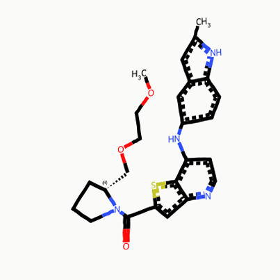 COCCOC[C@H]1CCCN1C(=O)c1cc2nccc(Nc3ccc4[nH]c(C)cc4c3)c2s1